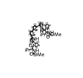 COC(=O)N[C@H](C(=O)N1CCC[C@H]1c1ncc(-c2ccc(-c3ccc(-c4cnc([C@@H]5CCCN5C(=O)[C@@H](NC(=O)OC)C(C)C)[nH]4)s3)s2)[nH]1)C(C)C